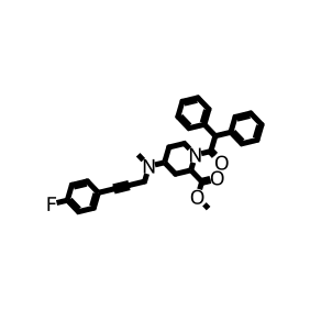 COC(=O)C1CC(N(C)CC#Cc2ccc(F)cc2)CCN1C(=O)C(c1ccccc1)c1ccccc1